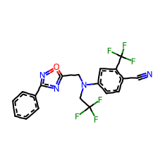 N#Cc1ccc(N(Cc2nc(-c3ccccc3)no2)CC(F)(F)F)cc1C(F)(F)F